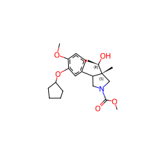 COC(=O)N1CC(c2ccc(OC)c(OC3CCCC3)c2)[C@](C)([C@@H](C)O)C1